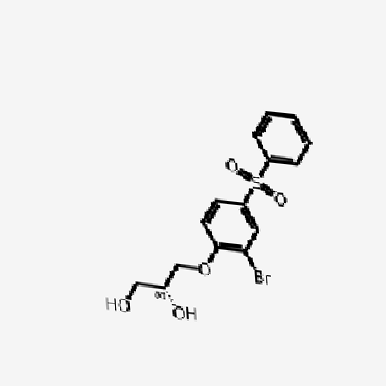 O=S(=O)(c1ccccc1)c1ccc(OC[C@H](O)CO)c(Br)c1